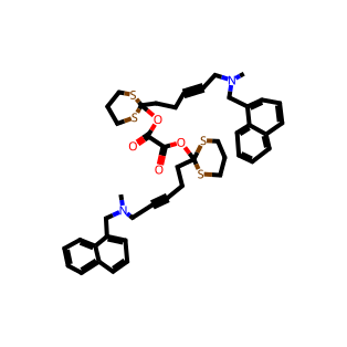 CN(CC#CCCC1(OC(=O)C(=O)OC2(CCC#CCN(C)Cc3cccc4ccccc34)SCCCS2)SCCCS1)Cc1cccc2ccccc12